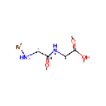 O=C(O)CNC(=O)CNBr